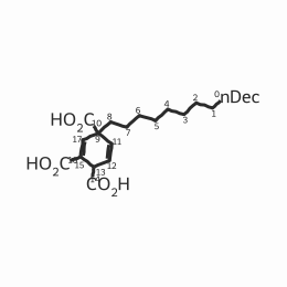 CCCCCCCCCCCCCCCCCCC1(C(=O)O)C=CC(C(=O)O)C(C(=O)O)=C1